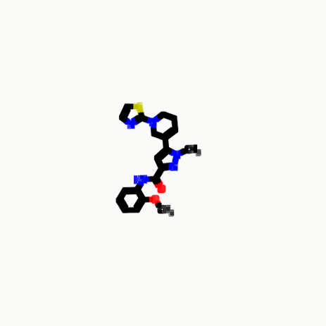 COc1ccccc1NC(=O)c1cc(C2=CCCN(c3nccs3)C2)n(C)n1